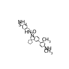 CNc1ccc(-c2ccc3c(c2)C2(CCCC2)CN3C(=O)NCc2ccc(SN)cc2)c(C)c1